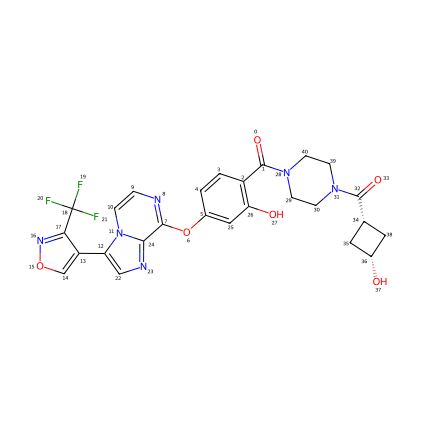 O=C(c1ccc(Oc2nccn3c(-c4conc4C(F)(F)F)cnc23)cc1O)N1CCN(C(=O)[C@H]2C[C@@H](O)C2)CC1